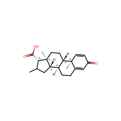 CC1C[C@H]2[C@@H]3CCC4=CC(=O)C=C[C@]4(C)[C@H]3CC[C@]2(C)[C@H]1C(=O)O